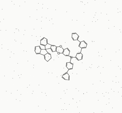 C1=C2C(=CCC1)C1(c3ccccc32)c2ccccc2-c2cc3c(cc21)Oc1cc(N(c2ccc(-c4ccccc4)cc2)c2cccc(-c4cccc(-c5ccccc5)c4)c2)ccc1O3